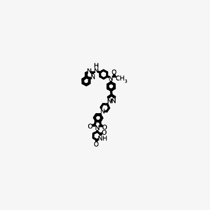 CC(=O)N(c1ccc(-c2cnn(C3CCN(c4ccc5c(c4)C(=O)N(C4CCC(=O)NC4=O)C5=O)CC3)c2)cc1)C1CCC(Nc2ncc3ccccc3n2)CC1